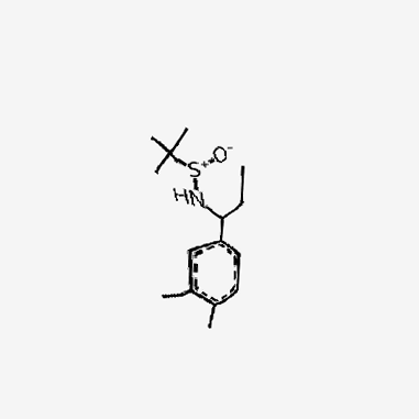 CCC(N[S+]([O-])C(C)(C)C)c1ccc(C)c(C)c1